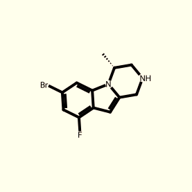 C[C@@H]1CNCc2cc3c(F)cc(Br)cc3n21